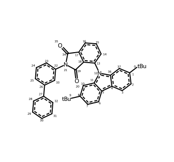 CC(C)(C)c1ccc2c3ccc(C(C)(C)C)cc3n(-c3cccc4c3C(=O)N(c3cccc(-c5ccccc5)c3)C4=O)c2c1